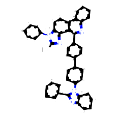 CCc1nc2c3c(-c4ccc(-c5ccc(-n6c(-c7ccccc7)nc7ccccc76)cc5)cc4)nc4ccccc4c3ccc2n1-c1ccccc1